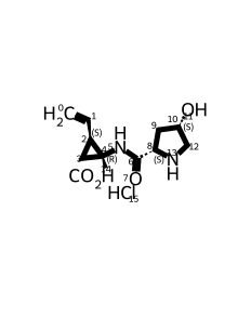 C=C[C@@H]1C[C@]1(NC(=O)[C@@H]1C[C@H](O)CN1)C(=O)O.Cl